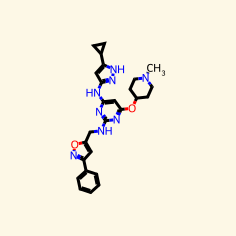 CN1CCC(Oc2cc(Nc3cc(C4CC4)[nH]n3)nc(NCc3cc(-c4ccccc4)no3)n2)CC1